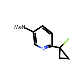 CNc1ccc(C2(F)CC2)nc1